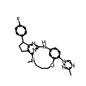 Cc1ncn(-c2ccc3cc2OCCCN(C)c2nc(nc4c2CCC4c2ccc(F)cc2)N3)n1